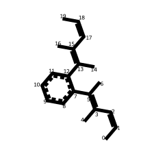 C/C=C\C(C)=C(/C)c1ccccc1/C(C)=C(C)/C=C\C